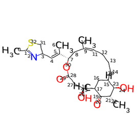 CC1=NC(/C=C(\C)[C@@H]2C/C(C)=C\CCC[C@@H]3C[C@@](C)(C(=O)[C@@H](C)[C@@H]3O)[C@@H](O)CC(=O)O2)CS1